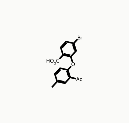 CC(=O)c1cc(C)ccc1Oc1cc(Br)ccc1C(=O)O